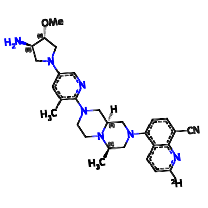 [2H]c1ccc2c(N3C[C@@H]4CN(c5ncc(N6C[C@@H](N)[C@H](OC)C6)cc5C)CCN4[C@H](C)C3)ccc(C#N)c2n1